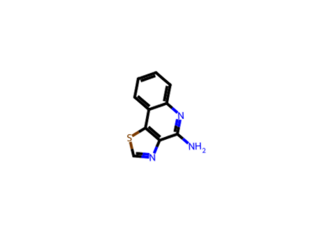 Nc1nc2ccccc2c2scnc12